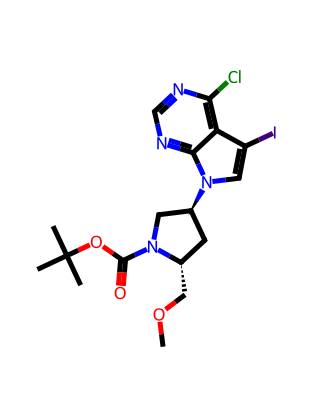 COC[C@H]1C[C@H](n2cc(I)c3c(Cl)ncnc32)CN1C(=O)OC(C)(C)C